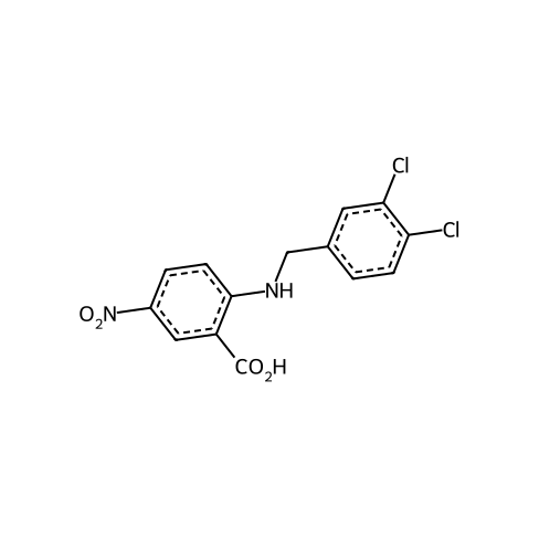 O=C(O)c1cc([N+](=O)[O-])ccc1NCc1ccc(Cl)c(Cl)c1